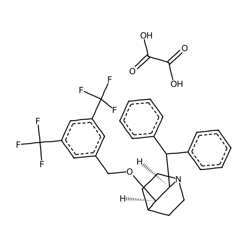 FC(F)(F)c1cc(CO[C@@H]2C3CCN(CC3)[C@@H]2C(c2ccccc2)c2ccccc2)cc(C(F)(F)F)c1.O=C(O)C(=O)O